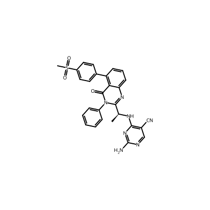 C[C@H](Nc1nc(N)ncc1C#N)c1nc2cccc(-c3ccc(S(C)(=O)=O)cc3)c2c(=O)n1-c1ccccc1